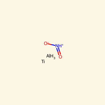 O=[NH+][O-].[AlH3].[Ti]